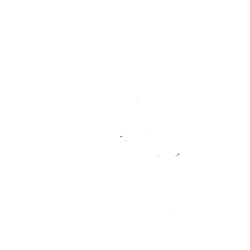 COc1nn(C)c2ccc([C@H](C)NC(=O)[C@@H]3C[C@@H](O)CN3C(=O)C(NC(=O)CCCCCCC(=O)O)C(C)(C)C)cc12